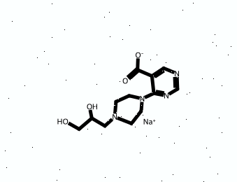 O=C([O-])c1cncnc1N1CCN(CC(O)CO)CC1.[Na+]